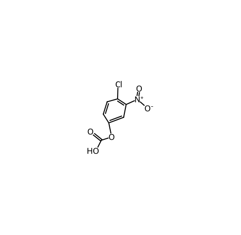 O=C(O)Oc1ccc(Cl)c([N+](=O)[O-])c1